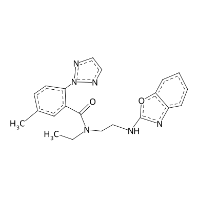 CCN(CCNc1nc2ccccc2o1)C(=O)c1cc(C)ccc1-n1nccn1